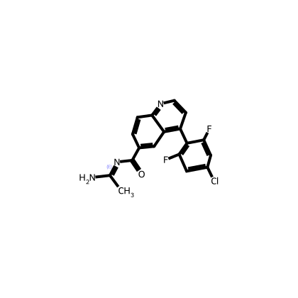 C/C(N)=N\C(=O)c1ccc2nccc(-c3c(F)cc(Cl)cc3F)c2c1